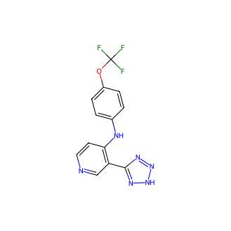 FC(F)(F)Oc1ccc(Nc2ccncc2-c2nn[nH]n2)cc1